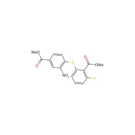 COC(=O)c1ccc(Sc2cccc(F)c2C(=O)OC)c([N+](=O)[O-])c1